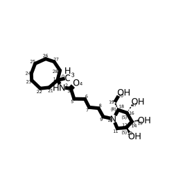 CC1(NC(=O)CCCCCN2C[C@H](O)[C@@H](O)[C@@H](O)[C@H]2CO)CCCCCCCC1